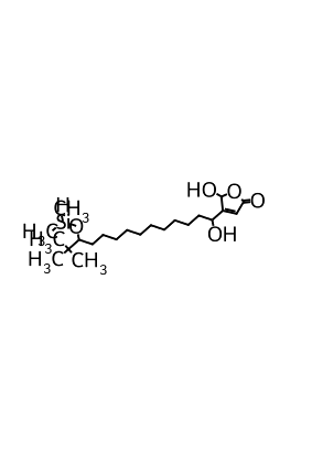 C[SiH](C)OC(CCCCCCCCCCC(O)C1=CC(=O)OC1O)C(C)(C)C